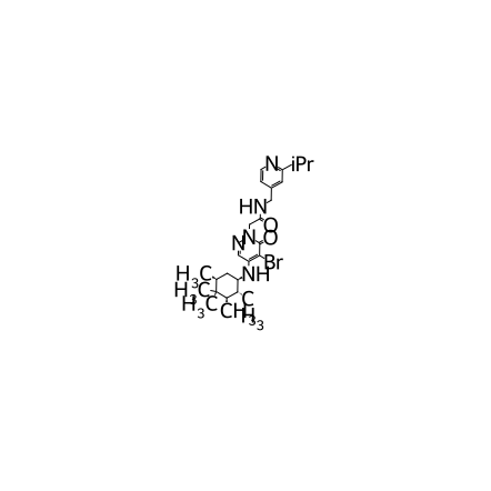 CC(C)c1cc(CNC(=O)Cn2ncc(N[C@@H]3C[C@H](C)C(C)(C)[C@H](C)[C@H]3C)c(Br)c2=O)ccn1